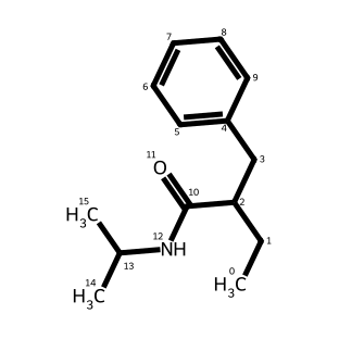 CCC(Cc1ccccc1)C(=O)NC(C)C